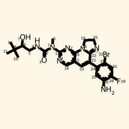 CN(C(=O)NCC(O)C(C)(C)C)c1ncc2c(n1)N1CCN=C1C(c1cc(N)c(F)cc1Br)=C2